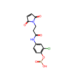 O=C(CCN1C(=O)C=CC1=O)Nc1ccc(OS(=O)O)c(Cl)c1